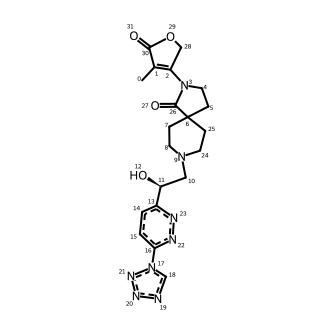 CC1=C(N2CCC3(CCN(C[C@H](O)c4ccc(-n5cnnn5)nn4)CC3)C2=O)COC1=O